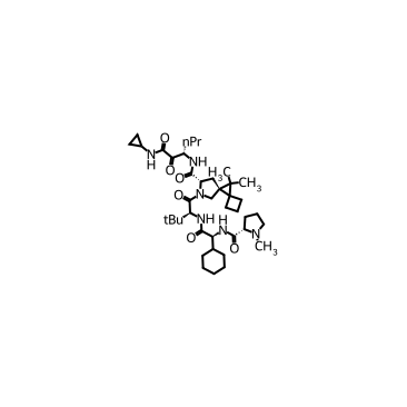 CCC[C@H](NC(=O)[C@@H]1C[C@@]2(CN1C(=O)[C@@H](NC(=O)[C@@H](NC(=O)[C@@H]1CCCN1C)C1CCCCC1)C(C)(C)C)C(C)(C)C21CCC1)C(=O)C(=O)NC1CC1